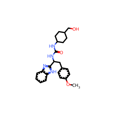 COc1ccc(CC(NC(=O)NC2CCC(CO)CC2)c2nc3ccccc3[nH]2)cc1